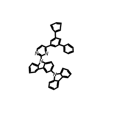 c1ccc(-c2cc(-c3ccccc3)cc(-c3ccnc(-n4c5ccccc5c5cc(-n6c7ccccc7c7ccccc76)ccc54)n3)c2)cc1